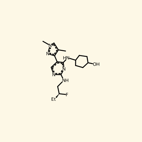 CC[C@H](F)CNc1ncc(-c2nn(C)cc2C)c(NC2CCC(O)CC2)n1